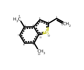 C=Cc1cc2c(C)ccc(C)c2s1